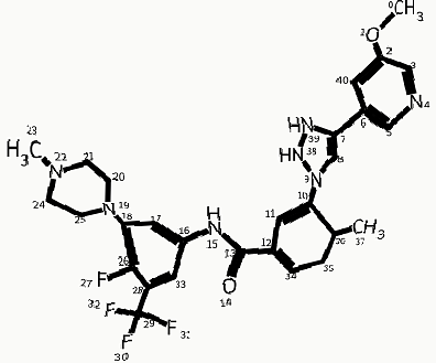 COc1cncc(C2=CN(C3=CC(C(=O)Nc4cc(N5CCN(C)CC5)c(F)c(C(F)(F)F)c4)=CCC3C)NN2)c1